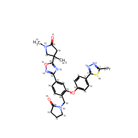 CC(C)c1nnc(-c2ccc(Oc3cc(-c4noc(C5(C)CC(=O)N(C)C5)n4)ccc3CN3CCCC3=O)cc2)s1